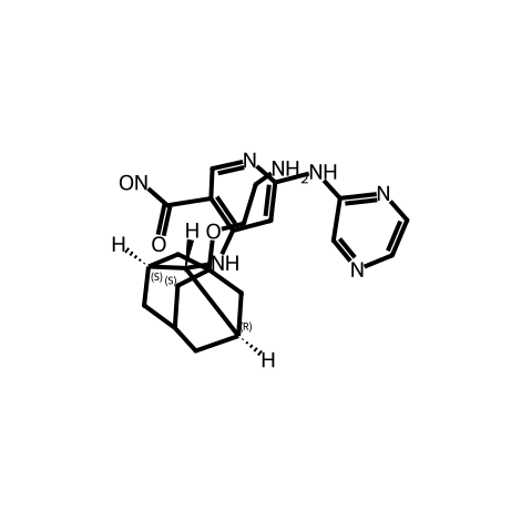 NCCOC12CC3C[C@H](C1)[C@@H](Nc1cc(Nc4cnccn4)ncc1C(=O)N=O)[C@@H](C3)C2